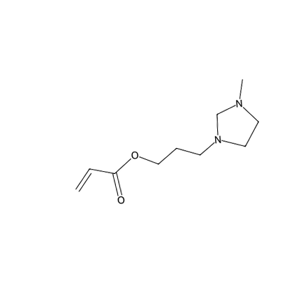 C=CC(=O)OCCCN1CCN(C)C1